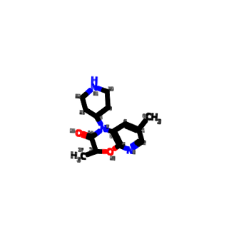 Cc1cnc2c(c1)N(C1CCNCC1)C(=O)C(C)O2